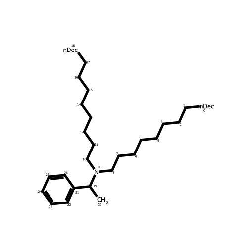 CCCCCCCCCCCCCCCCCCN(CCCCCCCCCCCCCCCCCC)C(C)c1ccccc1